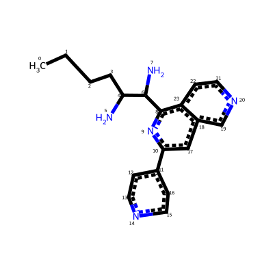 CCCCC(N)C(N)c1nc(-c2ccncc2)cc2cnccc12